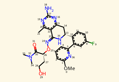 COc1cccc(-c2cc(F)ccc2[C@H]2Cc3nc(N)nc(C)c3/C(=N/O[C@H](CCO)C(=O)N(C)C)N2)n1